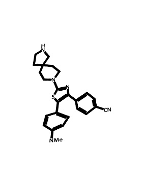 CNc1ccc(-c2sc(N3CCC4(CCNC4)CC3)nc2-c2ccc(C#N)cc2)cc1